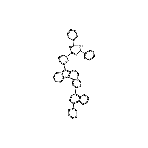 c1ccc(C2=NC(c3cccc(-n4c5ccccc5c5c6cc(-c7ccc(-c8ccccc8)c8ccccc78)ccc6ccc54)c3)=NC(c3ccccc3)N2)cc1